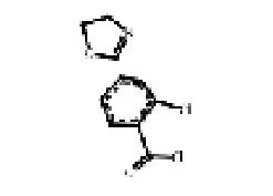 C1=NCCO1.O=C(Cl)c1ccccc1Cl